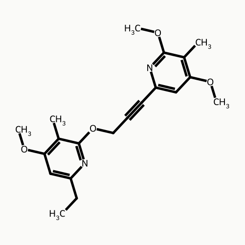 CCc1cc(OC)c(C)c(OCC#Cc2cc(OC)c(C)c(OC)n2)n1